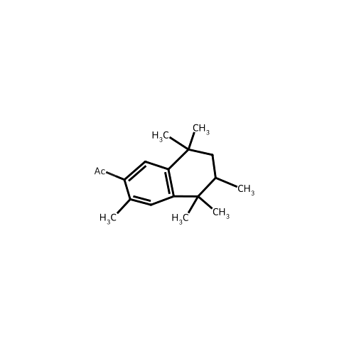 CC(=O)c1cc2c(cc1C)C(C)(C)C(C)CC2(C)C